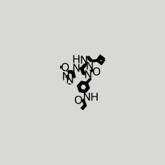 C=CC(=O)Nc1cccc(Cn2cc(Nc3cn(C)nc3OC)c3ncc(C45CC(C4)C5)n3c2=O)c1